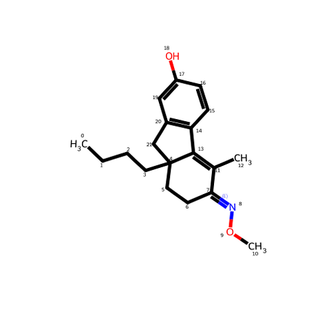 CCCCC12CC/C(=N\OC)C(C)=C1c1ccc(O)cc1C2